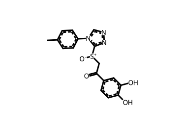 Cc1ccc(-n2cnnc2[S+]([O-])CC(=O)c2ccc(O)c(O)c2)cc1